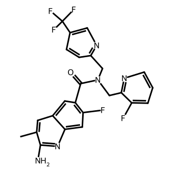 Cc1cc2cc(C(=O)N(Cc3ccc(C(F)(F)F)cn3)Cc3ncccc3F)c(F)cc2nc1N